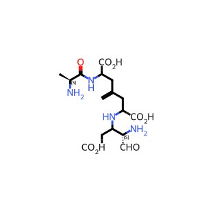 C=C(CC(NC(=O)[C@H](C)N)C(=O)O)CC(NC(CC(=O)O)[C@H](N)C=O)C(=O)O